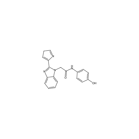 O=C(Cn1c(C2=CCC=N2)nc2ccccc21)Nc1ccc(O)cc1